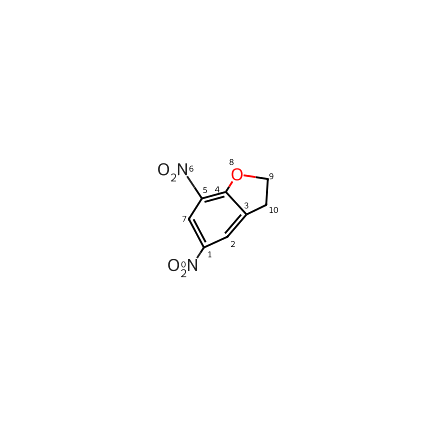 O=[N+]([O-])c1cc2c(c([N+](=O)[O-])c1)OCC2